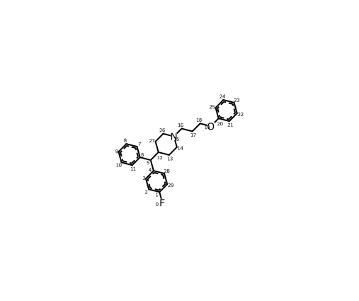 Fc1ccc(C(c2ccccc2)C2CCN(CCCOc3ccccc3)CC2)cc1